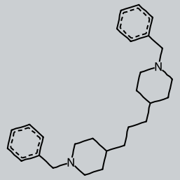 c1ccc(CN2CCC(CCCC3CCN(Cc4ccccc4)CC3)CC2)cc1